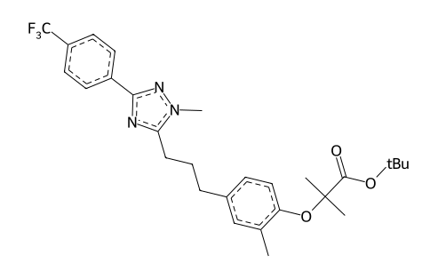 Cc1cc(CCCc2nc(-c3ccc(C(F)(F)F)cc3)nn2C)ccc1OC(C)(C)C(=O)OC(C)(C)C